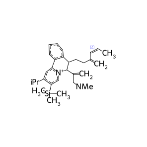 C=C(/C=C\C)CCC1c2ccccc2-c2cc(C(C)C)c([Si](C)(C)C)c[n+]2C1C(=C)CNC